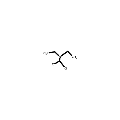 CCN(CC)C(Cl)Cl